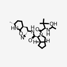 CC(O)N[C@H](C(=O)N1C[C@@H]2CCC[C@@H]2[C@H]1C(=O)N[C@H](C#N)C[C@@H]1CC[C@@H](C)NC1=O)C(C)(C)C